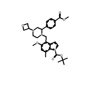 COC(=O)c1ccc(C2CN(C3COC3)CCN2Cc2c(OC)cc(C)c3c2ccn3C(=O)OC(C)(C)C)cc1